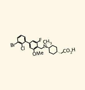 COc1cc(-c2cccc(Br)c2Cl)cc(F)c1CN(C)[C@H]1CC[C@H](CC(=O)O)CC1